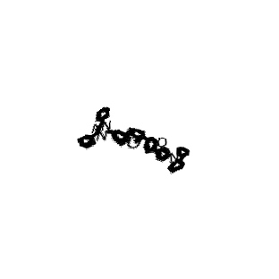 c1ccc(-c2nc(-c3ccccc3)nc(-c3ccc4oc5c(-c6ccc7c(c6)oc6cc(-n8c9ccccc9c9ccccc98)ccc67)cccc5c4c3)n2)cc1